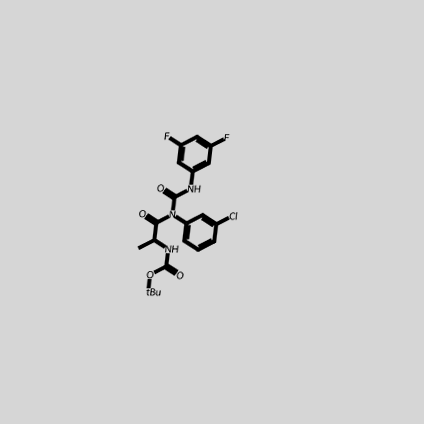 CC(NC(=O)OC(C)(C)C)C(=O)N(C(=O)Nc1cc(F)cc(F)c1)c1cccc(Cl)c1